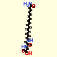 NC(=O)CCCCCCCCCCCCCCCNCC(=O)NCC(=O)O